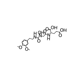 COc1ccc(CCNC(=O)N(O)CC(=O)NC(CCC(=O)O)C(=O)O)cc1OC